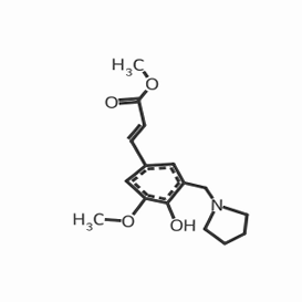 COC(=O)C=Cc1cc(CN2CCCC2)c(O)c(OC)c1